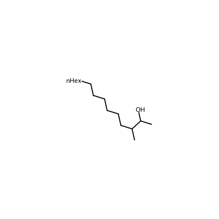 CCCCCCCCCCCCC(C)C(C)O